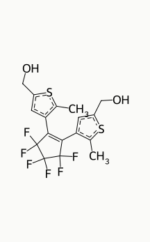 Cc1sc(CO)cc1C1=C(c2cc(CO)sc2C)C(F)(F)C(F)(F)C1(F)F